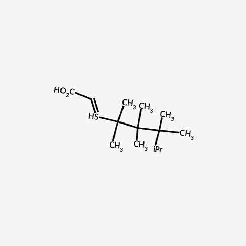 CC(C)C(C)(C)C(C)(C)C(C)(C)[SH]=CC(=O)O